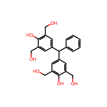 OCc1cc(C(c2ccccc2)c2cc(CO)c(O)c(CO)c2)cc(CO)c1O